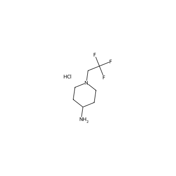 Cl.NC1CCN(CC(F)(F)F)CC1